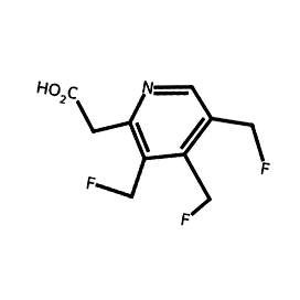 O=C(O)Cc1ncc(CF)c(CF)c1CF